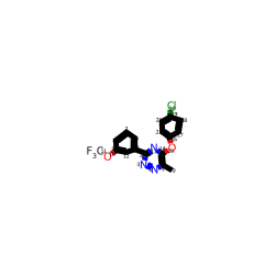 Cc1nnc(-c2cccc(OC(F)(F)F)c2)nc1Oc1ccc(Cl)cc1